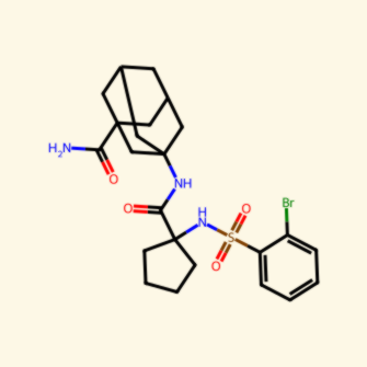 NC(=O)C12CC3CC(CC(NC(=O)C4(NS(=O)(=O)c5ccccc5Br)CCCC4)(C3)C1)C2